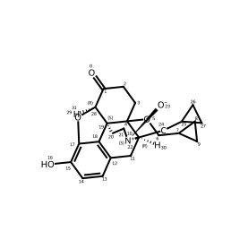 O=C1CCC2(OCC3CC3)[C@H]3Cc4ccc(O)c5c4[C@@]2(CC[N@+]3([O-])CC2CC2)[C@H]1O5